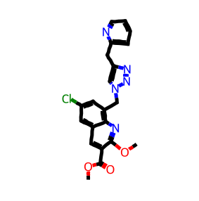 COC(=O)c1cc2cc(Cl)cc(Cn3cc(Cc4ccccn4)nn3)c2nc1OC